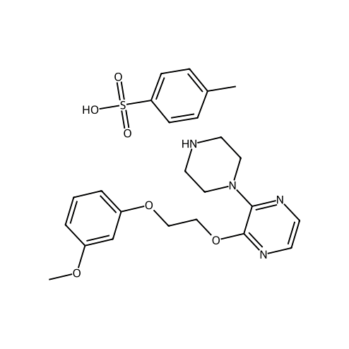 COc1cccc(OCCOc2nccnc2N2CCNCC2)c1.Cc1ccc(S(=O)(=O)O)cc1